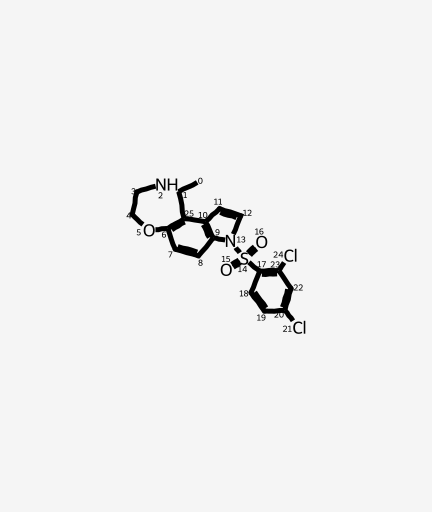 CC1NCCOc2ccc3c(ccn3S(=O)(=O)c3ccc(Cl)cc3Cl)c21